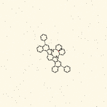 c1ccc(-c2cc3c(c4ccccc24)c2ccc4c5c6ccccc6c(-c6ccccc6)cc5n(-c5ccccc5)c4c2n3-c2ccccc2)cc1